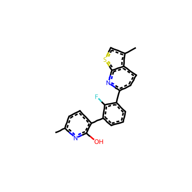 Cc1ccc(-c2cccc(-c3ccc4c(C)csc4n3)c2F)c(O)n1